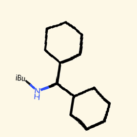 CCC(C)NC(C1CCCCC1)C1CCCCC1